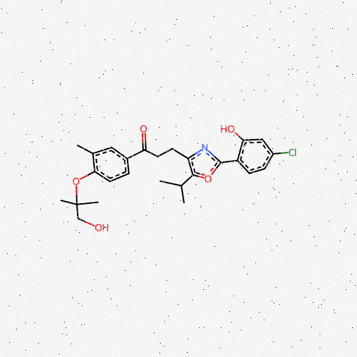 Cc1cc(C(=O)CCc2nc(-c3ccc(Cl)cc3O)oc2C(C)C)ccc1OC(C)(C)CO